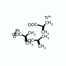 C=C(C)C(=O)[O-].C=C(C)C(=O)[O-].C=C(C)C(=O)[O-].CC(C)[O-].[Ti+4]